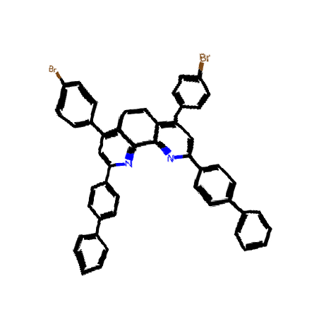 Brc1ccc(-c2cc(-c3ccc(-c4ccccc4)cc3)nc3c2ccc2c(-c4ccc(Br)cc4)cc(-c4ccc(-c5ccccc5)cc4)nc23)cc1